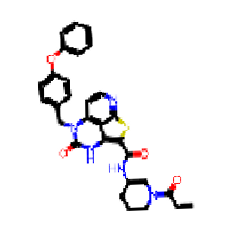 C=CC(=O)N1CCC[C@@H](NC(=O)c2sc3nccc4c3c2NC(=O)N4Cc2ccc(Oc3ccccc3)cc2)C1